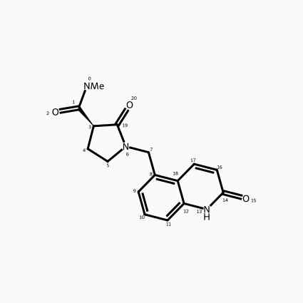 CNC(=O)[C@@H]1CCN(Cc2cccc3[nH]c(=O)ccc23)C1=O